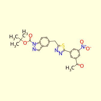 CC(=O)c1cc(-c2nnc(Cc3ccc4c(cnn4C(=O)OC(C)(C)C)c3)s2)cc([N+](=O)[O-])c1